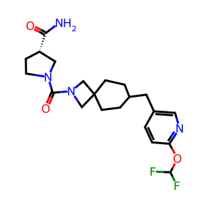 NC(=O)[C@H]1CCN(C(=O)N2CC3(CCC(Cc4ccc(OC(F)F)nc4)CC3)C2)C1